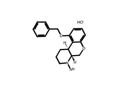 CCCN1CCC[C@H]2c3c(OCc4ccccc4)cccc3OC[C@@H]21.Cl